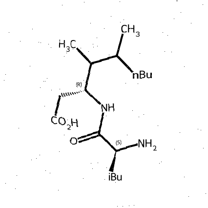 CCCCC(C)C(C)[C@@H](CC(=O)O)NC(=O)[C@@H](N)C(C)CC